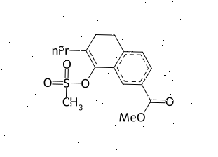 CCCC1=C(OS(C)(=O)=O)c2cc(C(=O)OC)ccc2CC1